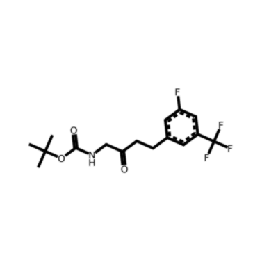 CC(C)(C)OC(=O)NCC(=O)CCc1cc(F)cc(C(F)(F)F)c1